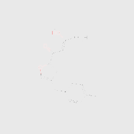 Cc1ccc(Cc2coc(C(=O)C=C(O)C(=O)O)c2)cc1